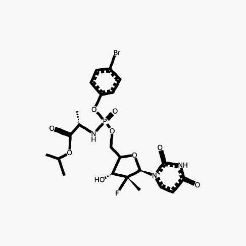 CC(C)OC(=O)[C@H](C)NP(=O)(OCC1O[C@@H](n2ccc(=O)[nH]c2=O)[C@](C)(F)[C@@H]1O)Oc1ccc(Br)cc1